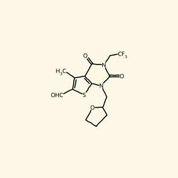 Cc1c(C=O)sc2c1c(=O)n(CC(F)(F)F)c(=O)n2CC1CCCO1